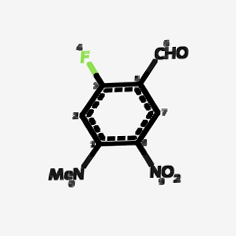 CNc1cc(F)c(C=O)cc1[N+](=O)[O-]